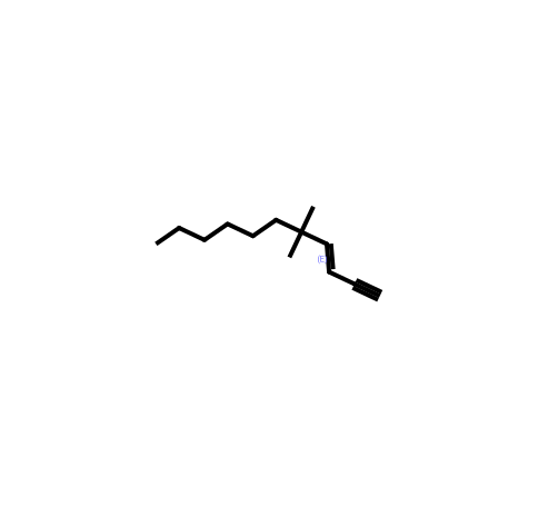 C#C/C=C/C(C)(C)CCCCCC